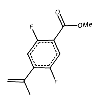 C=C(C)c1cc(F)c(C(=O)OC)cc1F